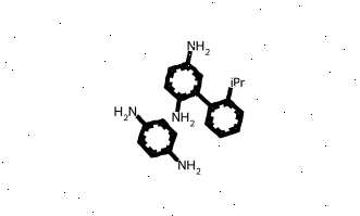 CC(C)c1ccccc1-c1cc(N)ccc1N.Nc1ccc(N)cc1